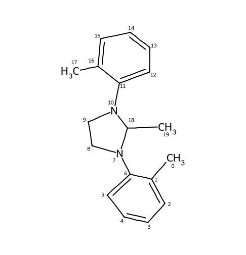 Cc1ccccc1N1CCN(c2ccccc2C)C1C